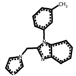 Cc1cccc(-n2c(Cn3ccnc3)nc3ccccc32)c1